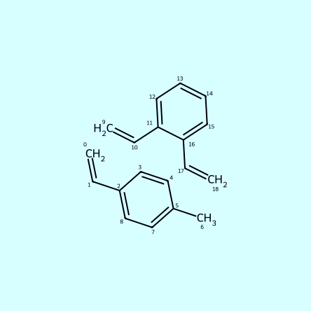 C=Cc1ccc(C)cc1.C=Cc1ccccc1C=C